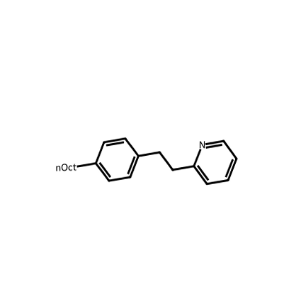 CCCCCCCCc1ccc(CCc2ccccn2)cc1